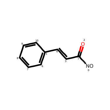 O=NC(=O)/C=C/c1ccccc1